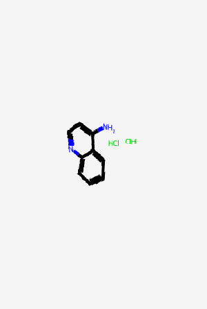 Cl.Cl.Nc1ccnc2ccccc12